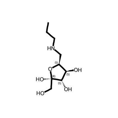 CCCNC[C@@H]1O[C@](O)(CO)[C@@H](O)[C@@H]1O